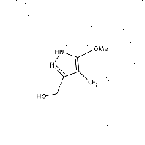 COc1[nH]nc(CO)c1C(F)(F)F